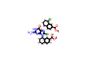 COC(=O)c1ccc2c(c1)C(Br)CCC2.COC(=O)c1ccc2c(c1)C(n1c(Br)nc3c(=O)[nH]c(N)nc31)CCC2